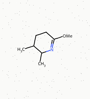 COC1=NC(C)C(C)CC1